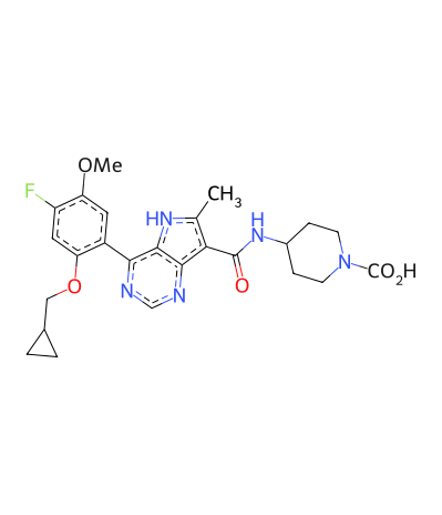 COc1cc(-c2ncnc3c(C(=O)NC4CCN(C(=O)O)CC4)c(C)[nH]c23)c(OCC2CC2)cc1F